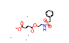 COC(=O)/C=C/C(=O)OCCNS(=O)(=O)Cc1ccccc1